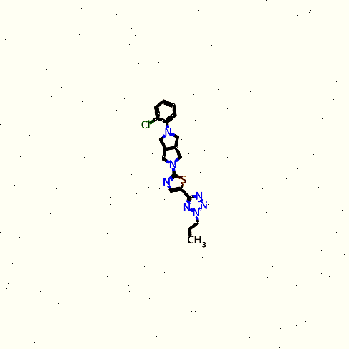 CCCn1nnc(-c2cnc(N3CC4CN(c5ccccc5Cl)CC4C3)s2)n1